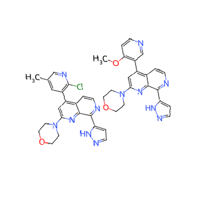 COc1ccncc1-c1cc(N2CCOCC2)nc2c(-c3ccn[nH]3)nccc12.Cc1cnc(Cl)c(-c2cc(N3CCOCC3)nc3c(-c4ccn[nH]4)nccc23)c1